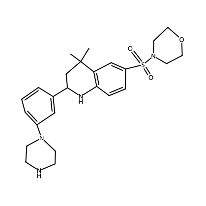 CC1(C)CC(c2cccc(N3CCNCC3)c2)Nc2ccc(S(=O)(=O)N3CCOCC3)cc21